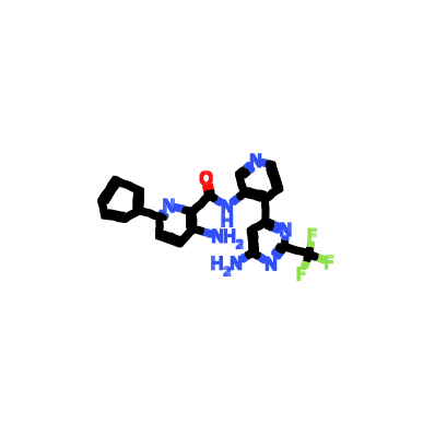 Nc1cc(-c2ccncc2NC(=O)c2nc(-c3ccccc3)ccc2N)nc(C(F)(F)F)n1